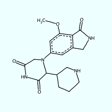 COc1cc(N2CC(=O)NC(=O)C2C2CCCNC2)cc2c1C(=O)NC2